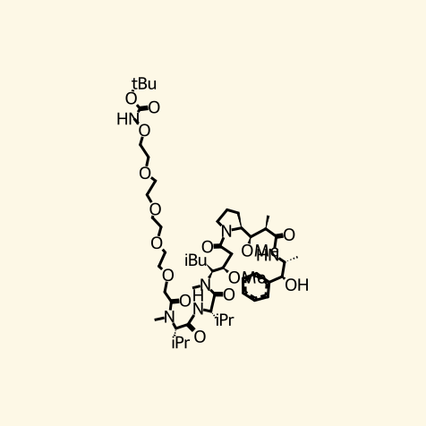 CC[C@H](C)[C@@H]([C@@H](CC(=O)N1CCC[C@H]1[C@H](OC)[C@@H](C)C(=O)N[C@H](C)[C@@H](O)c1ccccc1)OC)N(C)C(=O)[C@@H](NC(=O)[C@H](C(C)C)N(C)C(=O)COCCOCCOCCOCCONC(=O)OC(C)(C)C)C(C)C